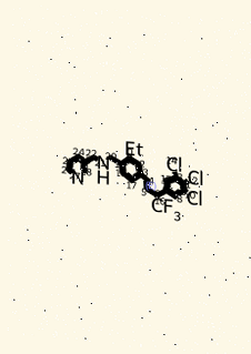 CCc1cc(/C=C/C(c2cc(Cl)c(Cl)c(Cl)c2)C(F)(F)F)ccc1CNCc1cccnc1